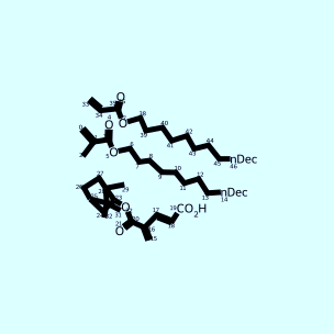 C=C(C)C(=O)OCCCCCCCCCCCCCCCCCC.C=C(C=CC(=O)O)C(=O)OC1CC2CCC1(C)C2(C)C.C=CC(=O)OCCCCCCCCCCCCCCCCCC